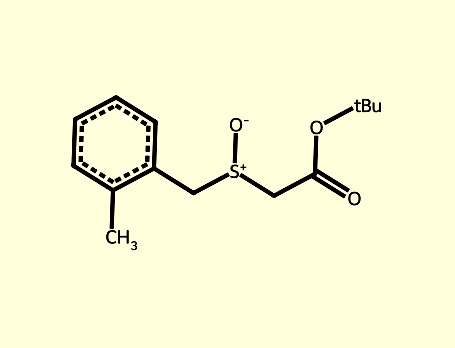 Cc1ccccc1C[S+]([O-])CC(=O)OC(C)(C)C